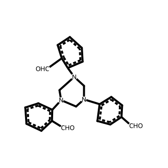 O=Cc1ccc(N2CN(c3ccccc3C=O)CN(c3ccccc3C=O)C2)cc1